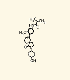 Cc1cc(NC(=O)C(C)C)ccc1N1CCCC2(CCN([C@H]3CC[C@H](O)CC3)C2=O)C1